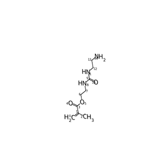 C=C(C)C(=O)OCCNC(=O)NCCN